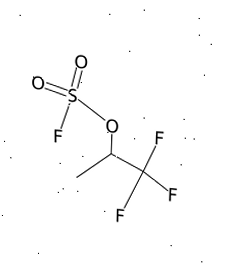 CC(OS(=O)(=O)F)C(F)(F)F